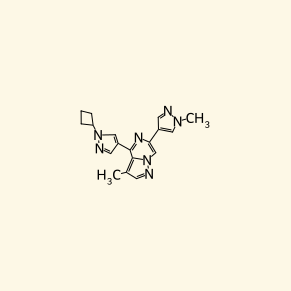 Cc1cnn2cc(-c3cnn(C)c3)nc(-c3cnn(C4CCC4)c3)c12